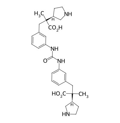 CC(Cc1cccc(NC(=O)Nc2cccc(CC(C)(C(=O)O)[C@H]3CCNC3)c2)c1)(C(=O)O)[C@H]1CCNC1